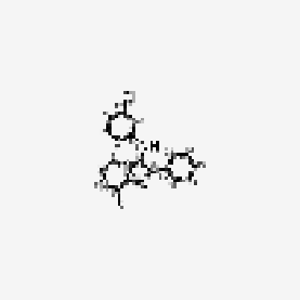 Cc1nccn2c(Nc3cccc(Cl)c3)c(-c3ccccc3)nc12